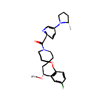 CC(C)O[C@@H]1CC2(CCN(C(=O)c3ccc(N4CCC[C@@H]4C)cn3)CC2)Oc2ccc(F)cc21